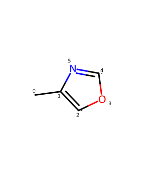 Cc1[c]o[c]n1